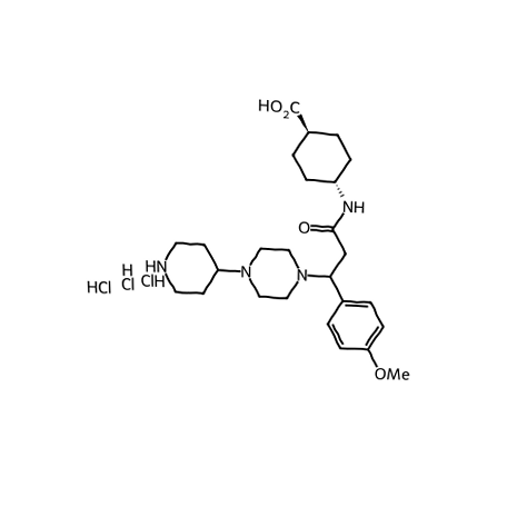 COc1ccc(C(CC(=O)N[C@H]2CC[C@H](C(=O)O)CC2)N2CCN(C3CCNCC3)CC2)cc1.Cl.Cl.Cl